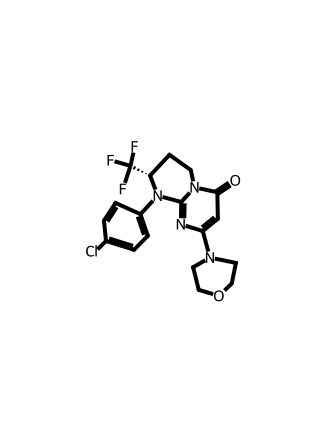 O=c1cc(N2CCOCC2)nc2n1CC[C@@H](C(F)(F)F)N2c1ccc(Cl)cc1